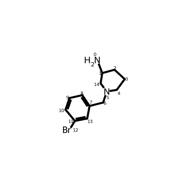 NC1CCCN(Cc2cccc(Br)c2)C1